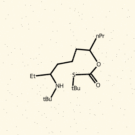 CCCC(CCCC(CC)NC(C)(C)C)OC(=O)SC(C)(C)C